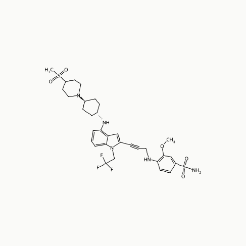 COc1cc(S(N)(=O)=O)ccc1NCC#Cc1cc2c(N[C@H]3CC[C@H](N4CCC(S(C)(=O)=O)CC4)CC3)cccc2n1CC(F)(F)F